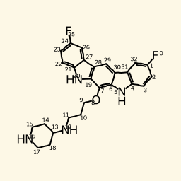 Fc1ccc2[nH]c3c(OCCCNC4CCNCC4)c4[nH]c5ccc(F)cc5c4cc3c2c1